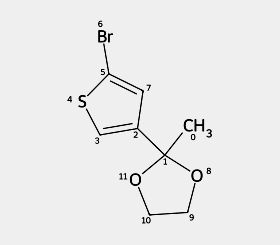 CC1(c2csc(Br)c2)OCCO1